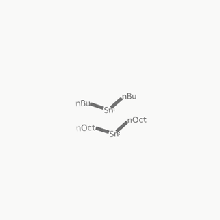 CCCCCCC[CH2][Sn][CH2]CCCCCCC.CCC[CH2][Sn][CH2]CCC